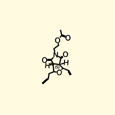 C=CCC1OC(C=C)[C@H]2C(=O)N(CCOC(C)=O)C(=O)[C@@H]12